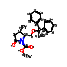 CC(C)[C@@H]1CC(=O)N(C(=O)OC(C)(C)C)[C@H]1CO[Si](c1ccccc1)(c1ccccc1)C(C)(C)C